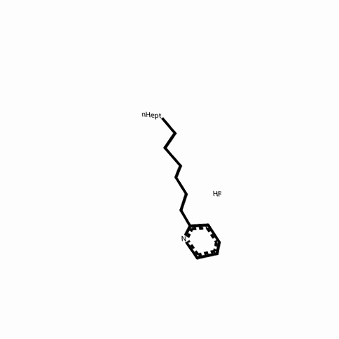 CCCCCCCCCCCCCc1ccccn1.F